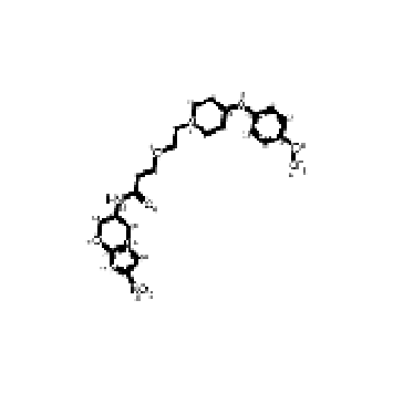 O=C(CCOCCN1CCC(Oc2ccc(OC(F)(F)F)cc2)CC1)NC1COc2nc([N+](=O)[O-])cn2C1